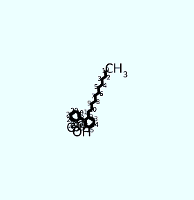 CCCCCCCCCCCCc1ccccc1-c1ccccc1S(=O)(=O)O